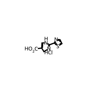 Cl.O=C(O)C1=CNC(c2nccs2)=NC1